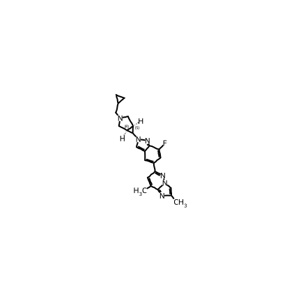 Cc1cn2nc(-c3cc(F)c4nn(C5[C@H]6CN(CC7CC7)C[C@@H]56)cc4c3)cc(C)c2n1